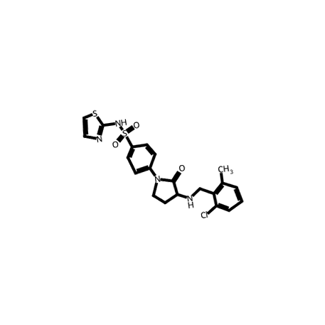 Cc1cccc(Cl)c1CNC1CCN(c2ccc(S(=O)(=O)Nc3nccs3)cc2)C1=O